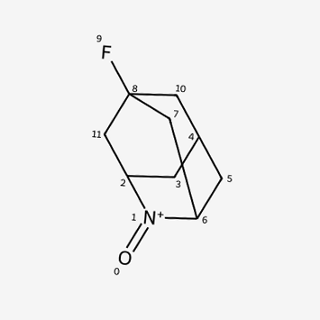 O=[N+]1C2CC3CC1CC(F)(C3)C2